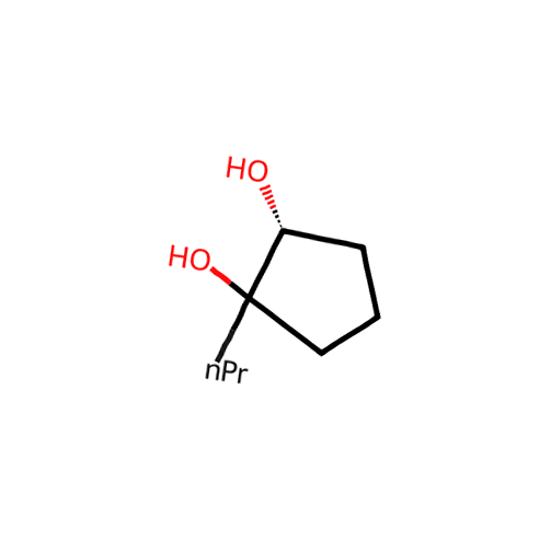 CCCC1(O)CCC[C@H]1O